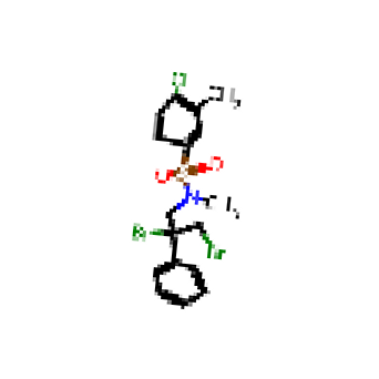 Cc1cc(S(=O)(=O)N(C)CC(Br)(CBr)c2ccccc2)ccc1Cl